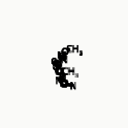 CCOc1cnc(N2C[C@@]3(CCC[C@](C)(Cn4cnc5ccc(C#N)cc54)C3)OC2=O)cn1